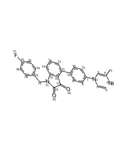 C=CN(/C=C(/C)N)c1ccc(-c2cccc3c2C(=O)C(=O)N3Cc2ccc(F)cc2)cc1